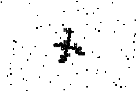 CC(C)(C)OC(=O)NCCCC(CCCCCCCN)(CCCNC(=O)OC(C)(C)C)NC(=O)OC(C)(C)C